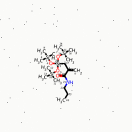 C=C(C[Si](O[Si](C)(C)C)(O[Si](C)(C)C)O[Si](C)(C)C)C(=O)NCCC